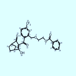 O=C(OCCOCc1nc(C(F)(F)F)ccc1C(=O)C1=C(O)C2CCC(C2)C1=O)c1ccccc1